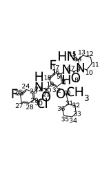 CC(Oc1cc(NC(=O)N2CCCCC2=N)c(F)cc1C(=O)Nc1cc(F)ccc1Cl)C1CCCCC1